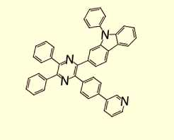 c1ccc(-c2nc(-c3ccc(-c4cccnc4)cc3)c(-c3ccc4c5ccccc5n(-c5ccccc5)c4c3)nc2-c2ccccc2)cc1